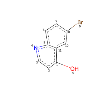 Oc1ccnc2ccc(Br)cc12